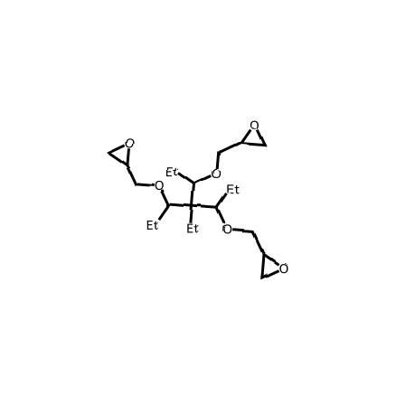 CCC(OCC1CO1)C(CC)(C(CC)OCC1CO1)C(CC)OCC1CO1